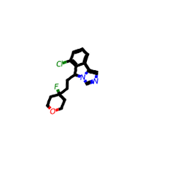 FC1(CCC2c3c(Cl)cccc3-c3cncn32)CCOCC1